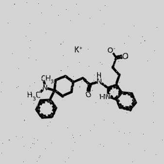 CN(C)C1(c2ccccc2)CCC(CC(=O)Nc2[nH]c3ccccc3c2CCC(=O)[O-])CC1.[K+]